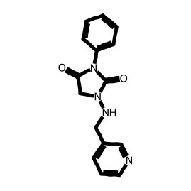 O=C1CN(NCc2cccnc2)C(=O)N1c1ccccc1